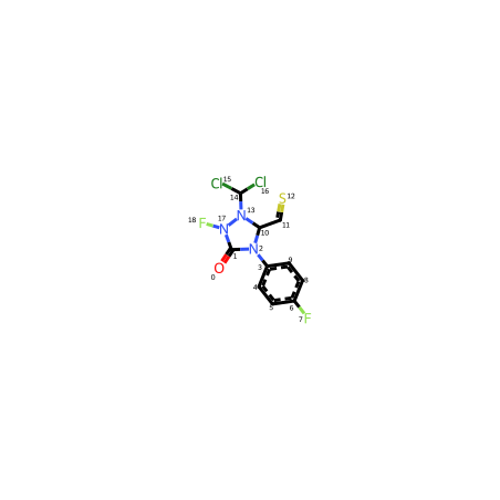 O=C1N(c2ccc(F)cc2)C(C=S)N(C(Cl)Cl)N1F